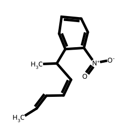 C/C=C/C=C\C(C)c1ccccc1[N+](=O)[O-]